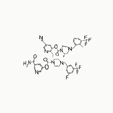 Cc1c(CN2CCN(C(=O)Oc3cc(C#N)cnc3CC[C@@H]3CN(Cc4cc(F)cc(C(F)(F)F)c4)CCN3C(=O)Oc3cncc(C(N)=O)c3)[C@H](C)C2)cccc1C(F)(F)F